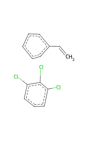 C=Cc1ccccc1.Clc1cccc(Cl)c1Cl